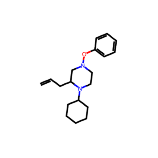 C=CCC1CN(Oc2ccccc2)CCN1C1CCCCC1